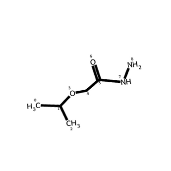 CC(C)OCC(=O)NN